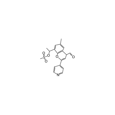 Cc1cc2c(c(C(C)OS(C)(=O)=O)c1)OC(c1ccncc1)=CC2C=O